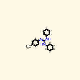 Cc1ccc(N=C(Nc2ccccc2)Nc2ccccc2)cc1